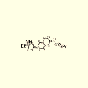 CC[C@@]1(N)CC[C@H](c2ccc3c(c2)CC[C@@H](CCSC(C)C)C3)C1